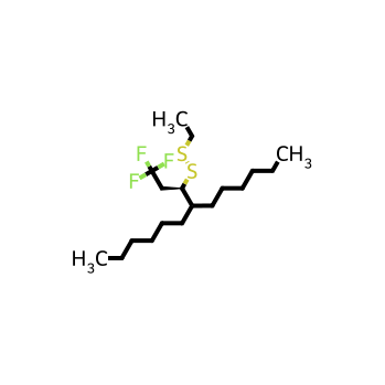 CCCCCCC(CCCCCC)[C@@H](CC(F)(F)F)SSCC